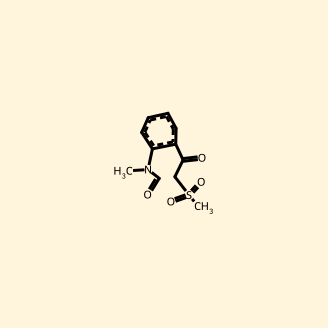 CN(C=O)c1ccccc1C(=O)CS(C)(=O)=O